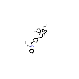 CC1(c2ccc(-c3ccc(C(=N)/N=C(\N)c4ccccc4)cc3)cc2)CC2CCCC(c3ccc(Br)cc3)(C2)C1